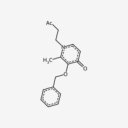 CC(=O)CCn1ccc(=O)c(OCc2ccccc2)c1C